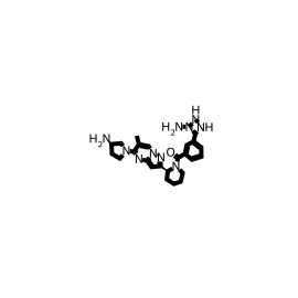 Cc1cn2nc([C@@H]3CCCCN3C(=O)c3cccc(C4NNN4N)c3)cc2nc1N1CC[C@H](N)C1